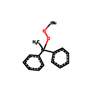 CC(C)(C)OO[Si](C)(c1ccccc1)c1ccccc1